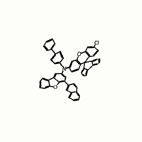 Clc1ccc2c(c1)Oc1cc(N(c3ccc(-c4ccccc4)cc3)c3cc(-c4ccc5ccccc5c4)c4oc5ccccc5c4c3)ccc1C21c2ccccc2-c2ccccc21